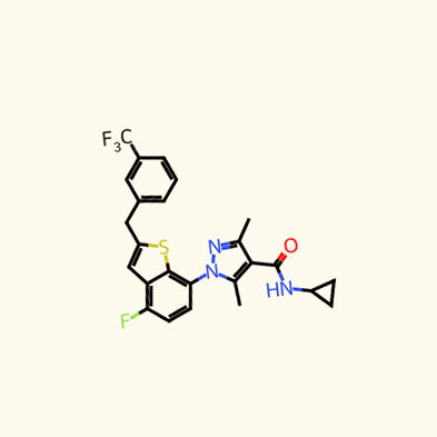 Cc1nn(-c2ccc(F)c3cc(Cc4cccc(C(F)(F)F)c4)sc23)c(C)c1C(=O)NC1CC1